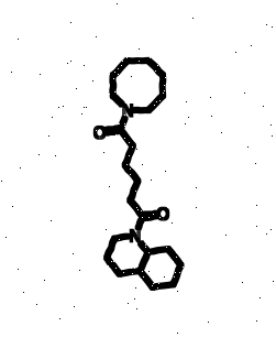 O=C(CCCCC(=O)N1CCCC2CCCCC21)N1CCCCCCC1